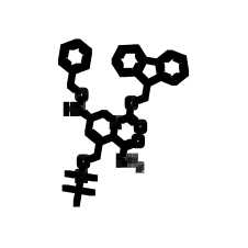 CC(C)(C)[Si](C)(C)OCC1=C[C@@H](NOCc2ccccc2)CN(C(=O)OCC2c3ccccc3-c3ccccc32)C1C(N)=O